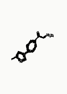 CCOC(=O)CC(=O)c1ccc(-n2cnc(C)c2)cc1